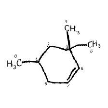 CC1[CH]C(C)(C)C=CC1